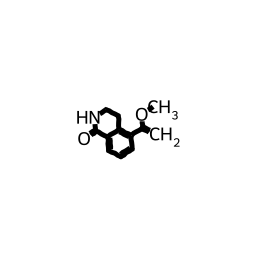 C=C(OC)c1cccc2c1CCNC2=O